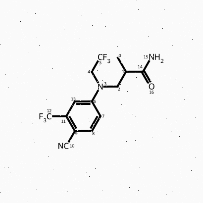 CC(CN(CC(F)(F)F)c1ccc(C#N)c(C(F)(F)F)c1)C(N)=O